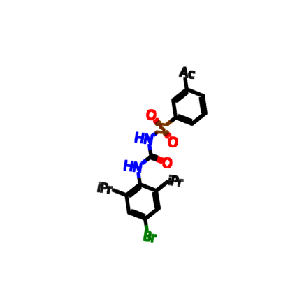 CC(=O)c1cccc(S(=O)(=O)NC(=O)Nc2c(C(C)C)cc(Br)cc2C(C)C)c1